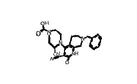 C[C@H]1CN(C(=O)O)CCN1c1c2c([nH]c(=O)c1C#N)CN(Cc1ccccc1)CC2